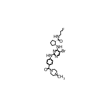 CN1CCN(C(=O)c2ccc(Nc3ncc(Br)c(N[C@@H]4CCC[C@@H]4C(=O)NCCF)n3)cc2)CC1